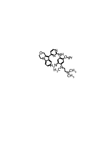 CC(C)Oc1cc(N(C)CCN(C)C)c(N)cc1Nc1nccc(-c2c3n(c4ccccc24)CCOC3)n1